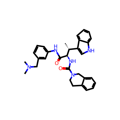 C[C@H](c1c[nH]c2ccccc12)[C@@H](NC(=O)N1CCc2ccccc2C1)C(=O)Nc1cccc(CN(C)C)c1